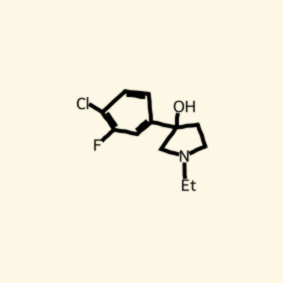 CCN1CCC(O)(c2ccc(Cl)c(F)c2)C1